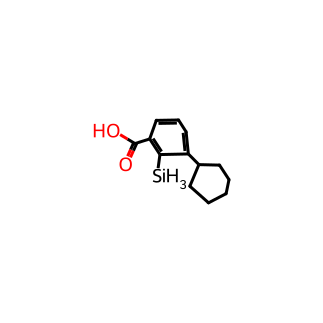 O=C(O)c1cccc(C2CCCCC2)c1[SiH3]